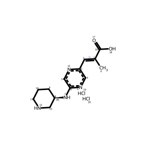 C/C(=C\c1cnc(N[C@@H]2CCCNC2)cn1)C(=O)O.Cl.Cl